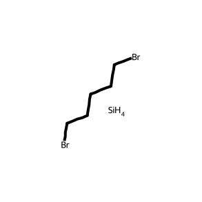 BrCCCCCBr.[SiH4]